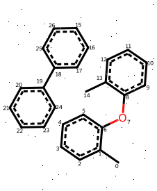 Cc1ccccc1Oc1ccccc1C.c1ccc(-c2ccccc2)cc1